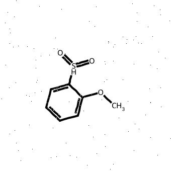 COc1ccccc1[SH](=O)=O